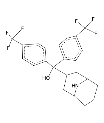 OC(c1ccc(C(F)(F)F)cc1)(c1ccc(C(F)(F)F)cc1)C1CC2CCCC(C1)N2